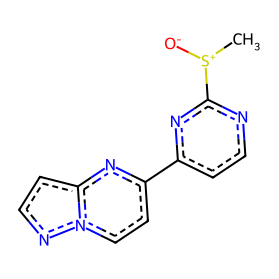 C[S+]([O-])c1nccc(-c2ccn3nccc3n2)n1